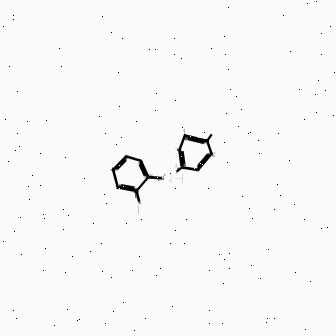 Fc1ccc(Nc2ccccc2F)cc1